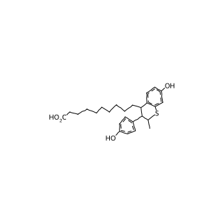 CC1Sc2cc(O)ccc2C(CCCCCCCCCC(=O)O)C1c1ccc(O)cc1